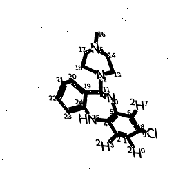 [2H]c1c([2H])c2c(c([2H])c1Cl)N=C(N1CCN(C)CC1)c1ccccc1N2